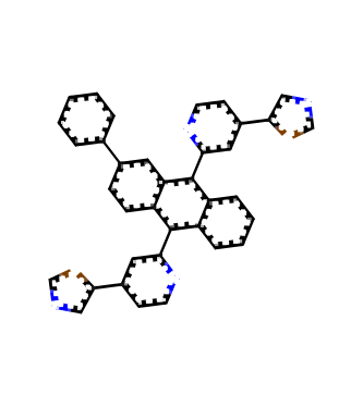 c1ccc(-c2ccc3c(-c4cc(-c5cncs5)ccn4)c4ccccc4c(-c4cc(-c5cncs5)ccn4)c3c2)cc1